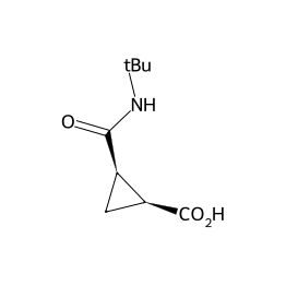 CC(C)(C)NC(=O)[C@@H]1C[C@@H]1C(=O)O